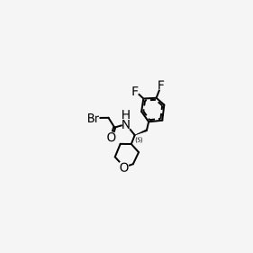 O=C(CBr)N[C@@H](Cc1ccc(F)c(F)c1)C1CCOCC1